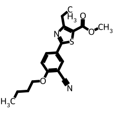 CCCCOc1ccc(-c2nc(CC)c(C(=O)OC)s2)cc1C#N